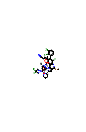 CSc1nc2c(F)c(-c3cccc(Cl)c3Cl)c(CCC#N)cc2c2c1cc([C@H]1CCCN1C(=O)N1CC(F)(F)C1)n2[C@H]1[C@@H]2C[C@H]1N(C(=O)OC(C)(C)C)C2